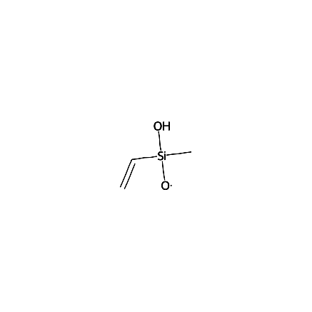 C=C[Si](C)([O])O